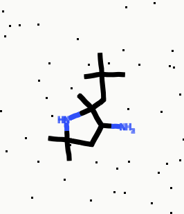 CC(C)(C)CC1(C)NC(C)(C)CC1N